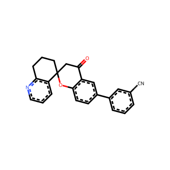 N#Cc1cccc(-c2ccc3c(c2)C(=O)CC2(CCCc4ncccc42)O3)c1